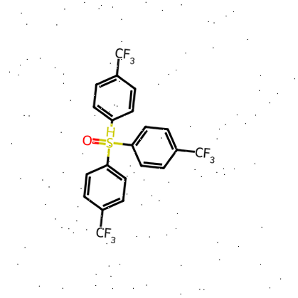 O=[SH](c1ccc(C(F)(F)F)cc1)(c1ccc(C(F)(F)F)cc1)c1ccc(C(F)(F)F)cc1